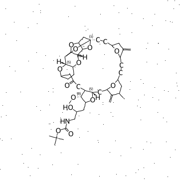 C=C1CC2CC[C@@]34CC5OC6C(O3)[C@H]3OC(CCC3O[C@H]6C5O4)CC(=O)CC3[C@@H](OC)C(CC(O)CNC(=O)OC(C)(C)C)O[C@H]3CC3OC(CCC1O2)CC(C)C3=C